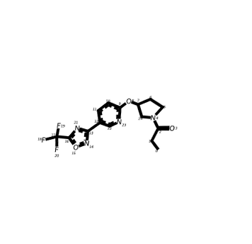 CCC(=O)N1CCC(Oc2ccc(-c3noc(C(F)(F)F)n3)cn2)C1